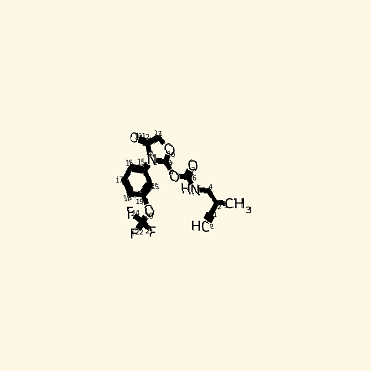 C#CC(C)CNC(=O)OC1OCC(=O)N1c1cccc(OC(F)(F)F)c1